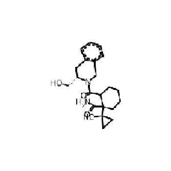 N#CC1(C2(C(N)=O)CCCCC2C(=O)N2Cc3ccccc3C[C@H]2CO)CC1